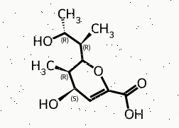 C[C@@H](O)[C@@H](C)C1OC(C(=O)O)=C[C@@H](O)[C@H]1C